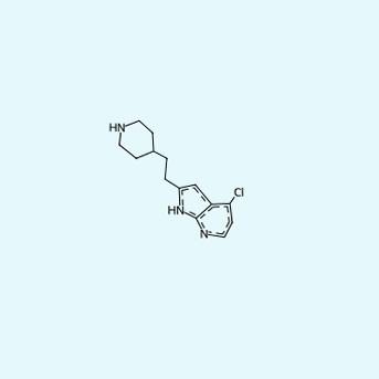 Clc1ccnc2[nH]c(CCC3CCNCC3)cc12